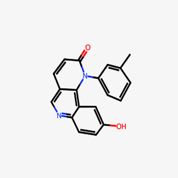 Cc1cccc(-n2c(=O)ccc3cnc4ccc(O)cc4c32)c1